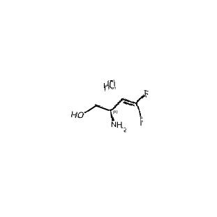 Cl.N[C@H](C=C(F)F)CO